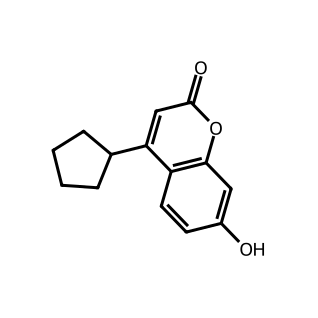 O=c1cc(C2CCCC2)c2ccc(O)cc2o1